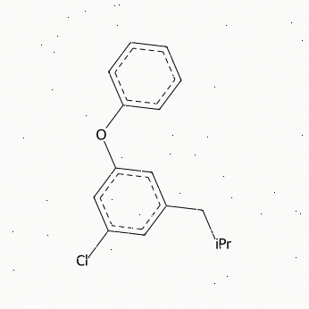 CC(C)Cc1cc(Cl)cc(Oc2ccccc2)c1